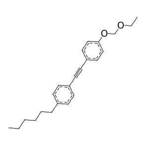 CCCCCCc1ccc(C#Cc2ccc(OCOCC)cc2)cc1